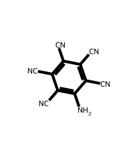 N#Cc1c(N)c(C#N)c(C#N)c(C#N)c1C#N